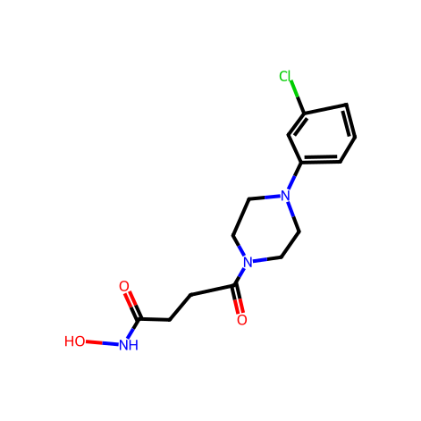 O=C(CCC(=O)N1CCN(c2cccc(Cl)c2)CC1)NO